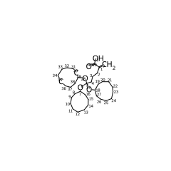 C=C(CCCC(OC1CCCCCCCCC1)(OC1CCCCCCCCC1)OC1CCCCCCCCC1)C(=O)O